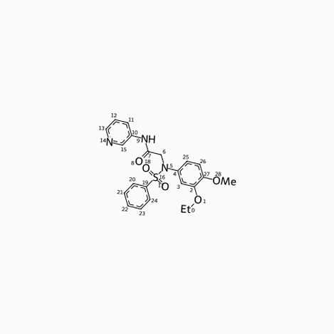 CCOc1cc(N(CC(=O)Nc2cccnc2)S(=O)(=O)c2ccccc2)ccc1OC